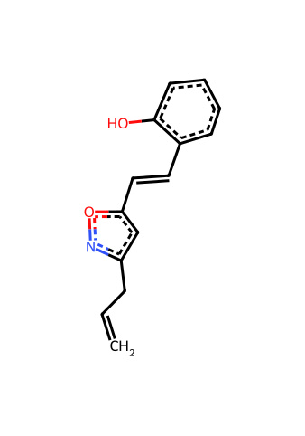 C=CCc1cc(C=Cc2ccccc2O)on1